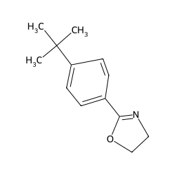 CC(C)(C)c1ccc(C2=NCCO2)cc1